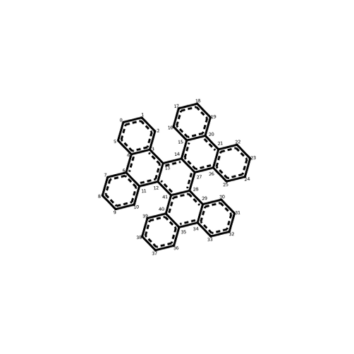 c1ccc2c(c1)c1ccccc1c1c2c2c3ccccc3c3ccccc3c2c2c3ccccc3c3ccccc3c12